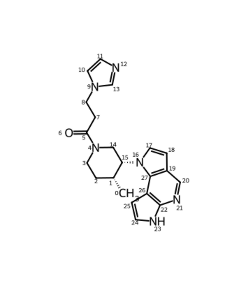 C[C@@H]1CCN(C(=O)CCn2ccnc2)C[C@@H]1n1ccc2cnc3[nH]ccc3c21